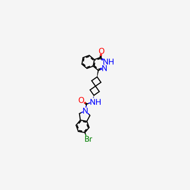 O=C(N[C@H]1CC2(C1)C[C@H](c1n[nH]c(=O)c3ccccc31)C2)N1Cc2ccc(Br)cc2C1